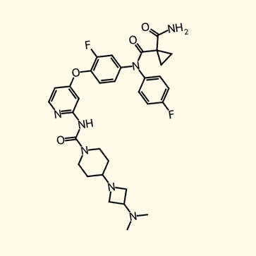 CN(C)C1CN(C2CCN(C(=O)Nc3cc(Oc4ccc(N(C(=O)C5(C(N)=O)CC5)c5ccc(F)cc5)cc4F)ccn3)CC2)C1